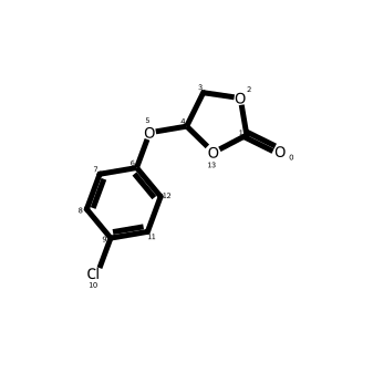 O=C1OCC(Oc2ccc(Cl)cc2)O1